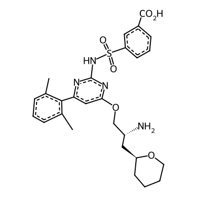 Cc1cccc(C)c1-c1cc(OC[C@H](N)C[C@@H]2CCCCO2)nc(NS(=O)(=O)c2cccc(C(=O)O)c2)n1